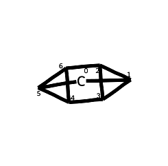 C1C2C3C2C2C1C32